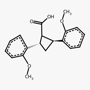 COc1ccccc1[C@H]1C[C@H](c2ccccc2OC)C1C(=O)O